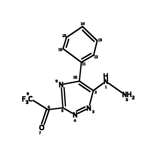 NNc1nnc(C(=O)C(F)(F)F)nc1-c1ccccc1